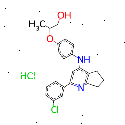 CC(CO)Oc1ccc(Nc2cc(-c3cccc(Cl)c3)nc3c2CCC3)cc1.Cl